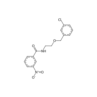 O=C(NCCOCc1cccc(Cl)c1)c1cccc([N+](=O)[O-])c1